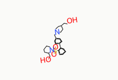 O=S(=O)(c1ccccc1-c1ccc(CN2CCC(CCO)CC2)cc1)N1CCCCC1CO